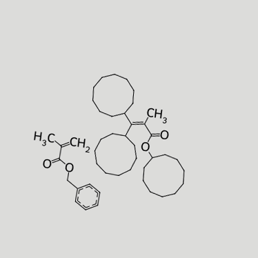 C=C(C)C(=O)OCc1ccccc1.CC(C(=O)OC1CCCCCCCCC1)=C(C1CCCCCCCCC1)C1CCCCCCCCC1